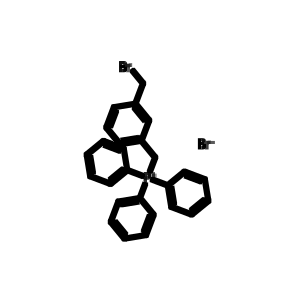 BrCc1cccc(C[P+](c2ccccc2)(c2ccccc2)c2ccccc2)c1.[Br-]